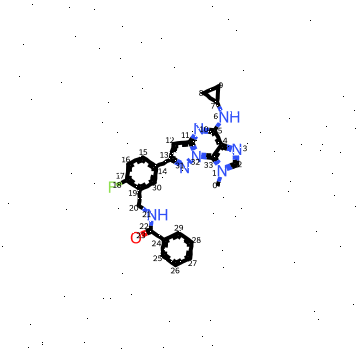 Cn1cnc2c(NC3CC3)nc3cc(-c4ccc(F)c(CNC(=O)c5ccccc5)c4)nn3c21